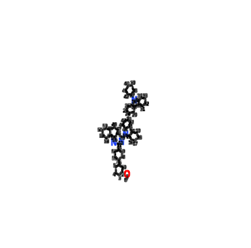 COc1cccc(-c2ccc(-c3nc(-n4c5ccccc5c5cc(-c6ccc7c(c6)c6ccccc6n7-c6ccccc6)ccc54)c4ccc5ccccc5c4n3)cc2)c1